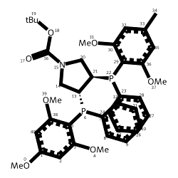 COc1cc(OC)c(P(c2ccccc2)[C@@H]2CN(C(=O)OC(C)(C)C)C[C@H]2P(c2ccccc2)c2c(OC)cc(C)cc2OC)c(OC)c1